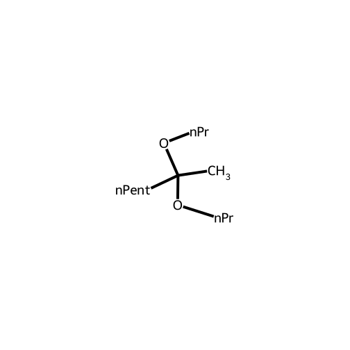 CCCCCC(C)(OCCC)OCCC